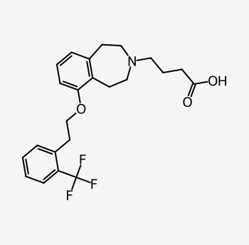 O=C(O)CCCN1CCc2cccc(OCCc3ccccc3C(F)(F)F)c2CC1